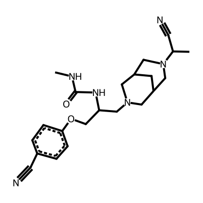 CNC(=O)NC(COc1ccc(C#N)cc1)CN1CC2CC(C1)CN(C(C)C#N)C2